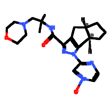 CC(C)(CN1CCOCC1)NC(=O)c1nn(-c2c[n+]([O-])ccn2)c2c1C[C@H]1CCC[C@@H]21